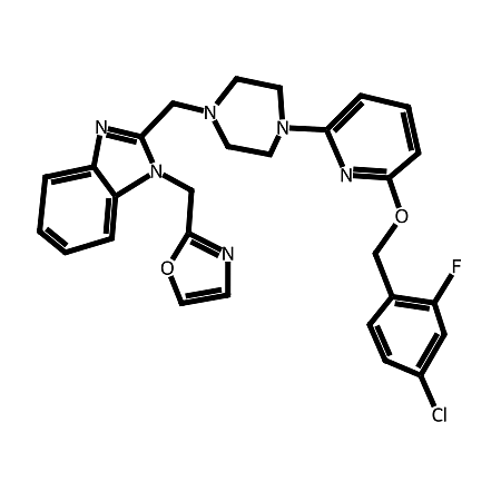 Fc1cc(Cl)ccc1COc1cccc(N2CCN(Cc3nc4ccccc4n3Cc3ncco3)CC2)n1